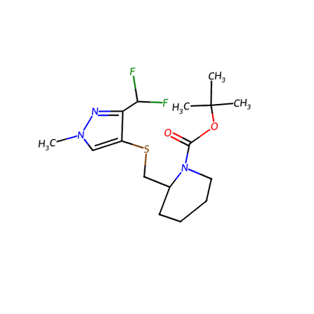 Cn1cc(SCC2CCCCN2C(=O)OC(C)(C)C)c(C(F)F)n1